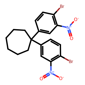 O=[N+]([O-])c1cc(C2(c3ccc(Br)c([N+](=O)[O-])c3)CCCCCC2)ccc1Br